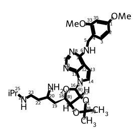 COc1ccc(CNc2ncnc3c2ccn3[C@@H]2O[C@H](CC(N)CCNC(C)C)[C@H]3OC(C)(C)O[C@H]32)c(OC)c1